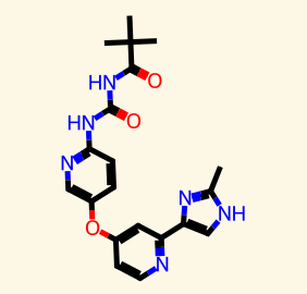 Cc1nc(-c2cc(Oc3ccc(NC(=O)NC(=O)C(C)(C)C)nc3)ccn2)c[nH]1